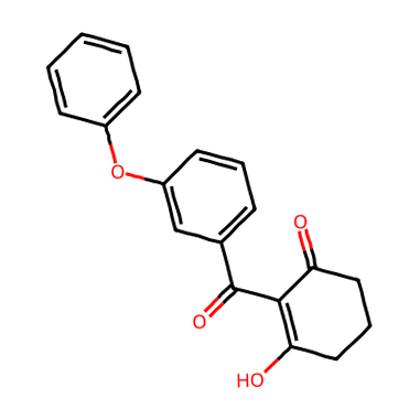 O=C1CCCC(O)=C1C(=O)c1cccc(Oc2ccccc2)c1